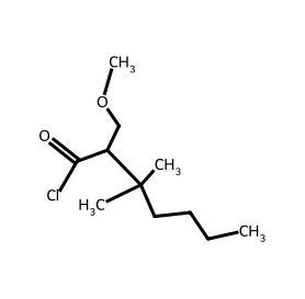 CCCCC(C)(C)C(COC)C(=O)Cl